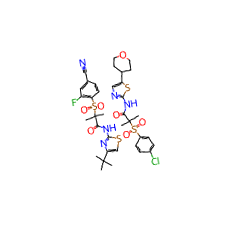 CC(C)(C(=O)Nc1ncc(C2CCOCC2)s1)S(=O)(=O)c1ccc(Cl)cc1.CC(C)(C)c1csc(NC(=O)C(C)(C)S(=O)(=O)c2ccc(C#N)cc2F)n1